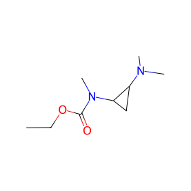 CCOC(=O)N(C)C1CC1N(C)C